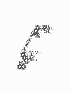 CNC(C)C(=O)NC(C(=O)N1Cc2cc(OCCOCCOCCOCCOc3cc4ncnc(Nc5n[nH]c(C)c5C)c4cc3S(=O)(=O)C(C)(C)C)ccc2CC1C(=O)N[C@@H]1CCCc2ccccc21)C(C)(C)C